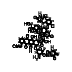 COc1cccc2c1C(=O)c1c(O)c3c(c(O)c1C2=O)C[C@@](O)(C(=O)CO)C[C@@H]3O[C@H]1C[C@H](N)[C@H](O)[C@H](C)O1.C[C@]12CCC(=O)C=C1CC[C@@H]1[C@@H]2[C@@H](O)C[C@@]2(C)[C@H]1CC[C@]2(O)C(=O)CO.Cl.O=C1CN2Cc3c(ccc(Cl)c3Cl)N=C2N1.O=c1[nH]cc(F)c(=O)[nH]1